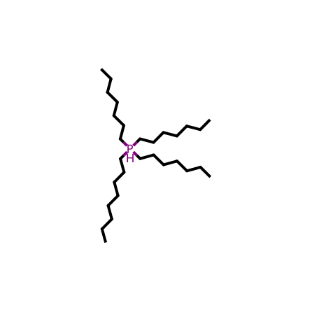 CCCCCCCC[PH](CCCCCCC)(CCCCCCC)CCCCCCC